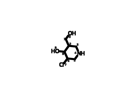 OCC1CNCC(Cl)C1O